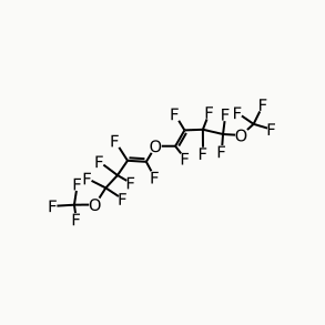 FC(OC(F)=C(F)C(F)(F)C(F)(F)OC(F)(F)F)=C(F)C(F)(F)C(F)(F)OC(F)(F)F